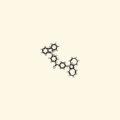 O=C(c1ccc(-n2c3c(c4c2C=CCCC4)C=CCC=C3)cc1)c1ccc(-n2c3ccccc3c3ccccc32)cc1